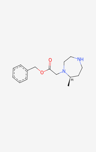 C[C@@H]1CCNCCN1CC(=O)OCc1ccccc1